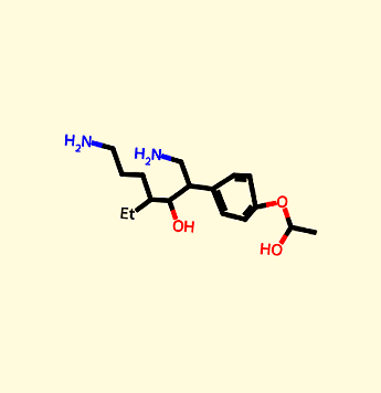 CCC(CCCN)C(O)C(CN)c1ccc(OC(C)O)cc1